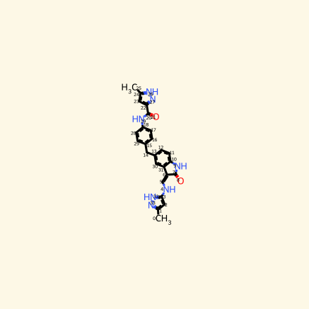 Cc1cc(N/C=C2\C(=O)Nc3ccc(Cc4ccc(NC(=O)c5cc(C)[nH]n5)cc4)cc32)[nH]n1